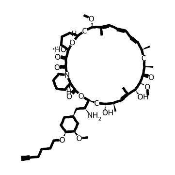 C#CCCCCO[C@@H]1CC[C@@H](C[C@@H](N)[C@@H]2C[C@@H](O)[C@H](C)/C=C(\C)[C@@H](O)[C@@H](OC)C(=O)[C@H](C)C[C@H](C)/C=C/C=C/C=C(\C)[C@@H](OC)C[C@@H]3CC[C@@H](C)[C@@](O)(O3)C(=O)C(=O)N3CCCC[C@H]3C(=O)O2)C[C@H]1OC